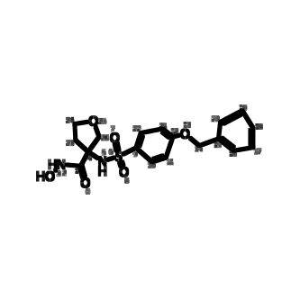 O=C(NO)C1(NS(=O)(=O)c2ccc(OCc3ccccc3)cc2)CCOC1